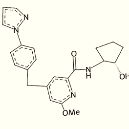 COc1cc(Cc2ccc(-n3cccn3)cc2)cc(C(=O)NC2CCC[C@@H]2O)n1